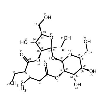 CCCC(=O)O[C@H]1[C@@H](O[C@]2(CO)O[C@H](CO)[C@@H](O)[C@@H]2OC(=O)CCC)O[C@H](CO)[C@@H](O)[C@@H]1O